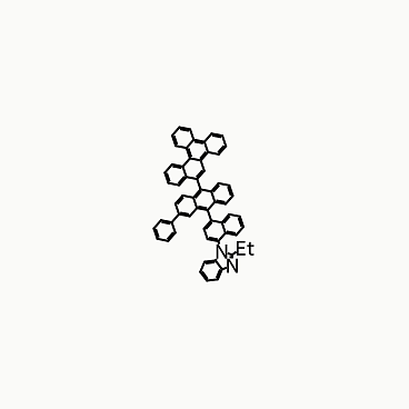 CCc1nc2ccccc2n1-c1ccc(-c2c3ccccc3c(-c3cc4c5ccccc5c5ccccc5c4c4ccccc34)c3ccc(-c4ccccc4)cc23)c2ccccc12